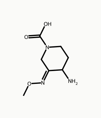 CO/N=C1\CN(C(=O)O)CCC1N